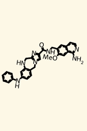 COc1cc2c(N)nccc2cc1CNC(=O)c1cn2c(n1)CNc1cc(Nc3ccccc3)ccc1C2